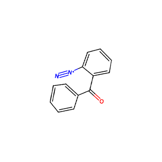 N#[N+]c1ccccc1C(=O)c1ccccc1